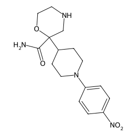 NC(=O)C1(C2CCN(c3ccc([N+](=O)[O-])cc3)CC2)CNCCO1